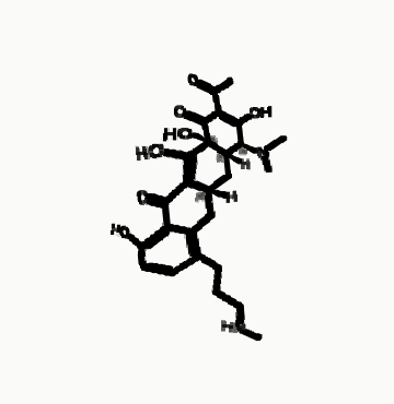 CNCCCc1ccc(O)c2c1C[C@H]1C[C@H]3[C@H](N(C)C)C(O)=C(C(C)=O)C(=O)[C@@]3(O)C(O)=C1C2=O